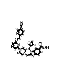 N#Cc1ccc(COc2cncc(N3CCN(Cc4nc5ccc(C(=O)O)cc5n4C[C@@H]4CCO4)CC3)n2)nc1